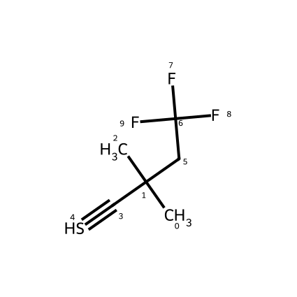 CC(C)(C#[SH])CC(F)(F)F